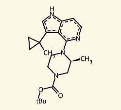 C[C@H]1CN(C(=O)OC(C)(C)C)CCN1c1nccc2[nH]cc(C3(C)CC3)c12